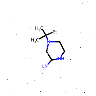 CCC(C)(C)N1CCNC(N)C1